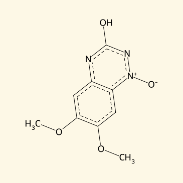 COc1cc2nc(O)n[n+]([O-])c2cc1OC